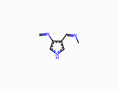 C=Nc1c[nH]cc1/C=N\C